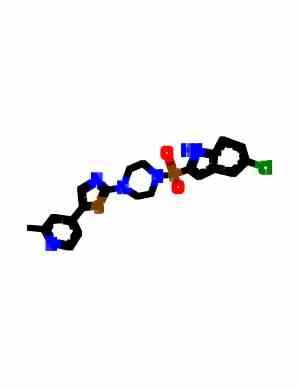 Cc1cc(-c2cnc(N3CCN(S(=O)(=O)c4cc5cc(Cl)ccc5[nH]4)CC3)s2)ccn1